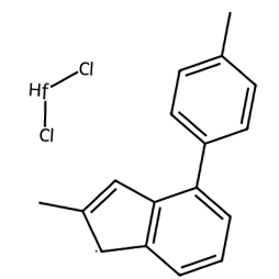 CC1=Cc2c(cccc2-c2ccc(C)cc2)[CH]1.[Cl][Hf][Cl]